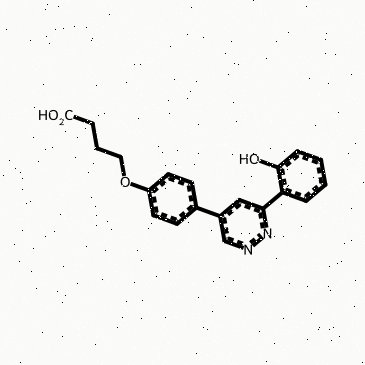 O=C(O)CCCOc1ccc(-c2cnnc(-c3ccccc3O)c2)cc1